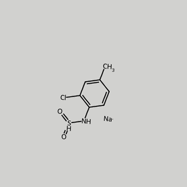 Cc1ccc(N[SH](=O)=O)c(Cl)c1.[Na]